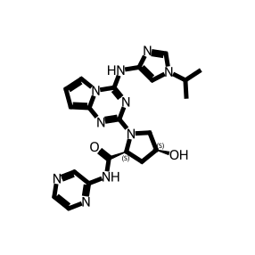 CC(C)n1cnc(Nc2nc(N3C[C@@H](O)C[C@H]3C(=O)Nc3cnccn3)nc3cccn23)c1